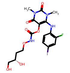 Cn1c(Nc2ccc(I)cc2F)c(OC(=O)NOCC[C@H](O)CO)c(=O)n(C)c1=O